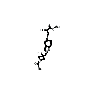 CC(C)(C)OC(=O)C(O)COc1ccc2nn(CC3(O)CN(C(=O)OC(C)(C)C)C3)cc2c1